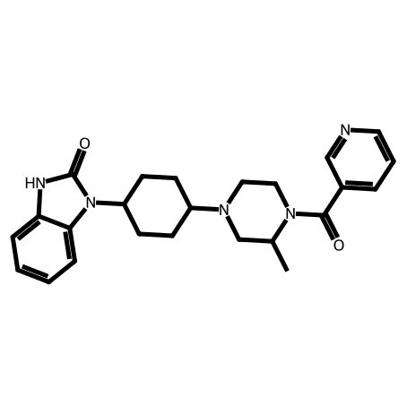 CC1CN(C2CCC(n3c(=O)[nH]c4ccccc43)CC2)CCN1C(=O)c1cccnc1